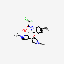 C[n+]1ccc(-c2cc[n+](C)cc2)cc1.O=C(N[C@H](CO)[C@H](O)c1ccc([N+](=O)[O-])cc1)C(Cl)Cl